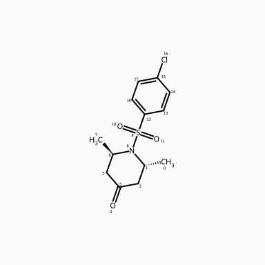 C[C@@H]1CC(=O)C[C@@H](C)N1S(=O)(=O)c1ccc(Cl)cc1